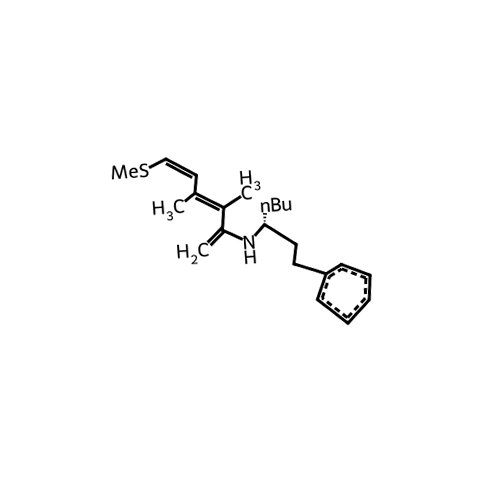 C=C(N[C@H](CCCC)CCc1ccccc1)/C(C)=C(C)/C=C\SC